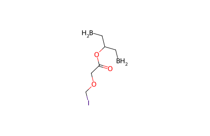 BCC(CB)OC(=O)COCI